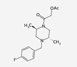 CC(=O)OCC(=O)N1C[C@H](C)N(Cc2ccc(F)cc2)C[C@H]1C